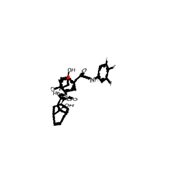 O=C(C[C@]1(O)C2CCC1C[C@@H](S(=O)(=O)c1cc(C(=O)Nc3cc(F)c(F)c(F)c3)ccc1Cl)C2)N[C@H]1C[C@H](O)C1